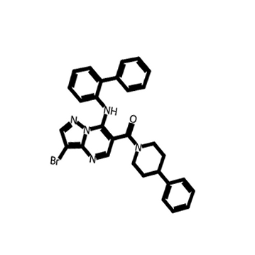 O=C(c1cnc2c(Br)cnn2c1Nc1ccccc1-c1ccccc1)N1CCC(c2ccccc2)CC1